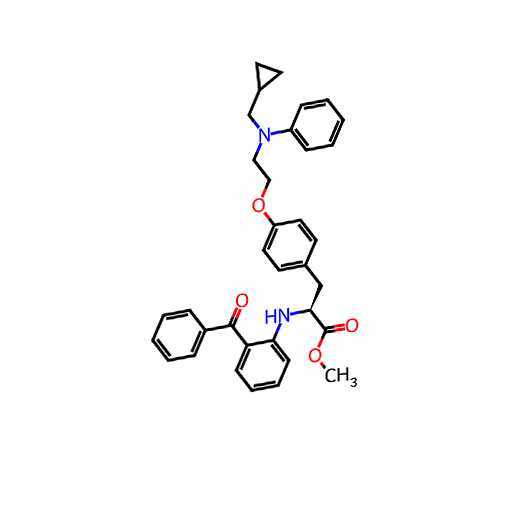 COC(=O)[C@H](Cc1ccc(OCCN(CC2CC2)c2ccccc2)cc1)Nc1ccccc1C(=O)c1ccccc1